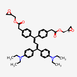 CCN(CC)c1ccc(C(=CC=C(c2ccc(CC(=O)OCC3CO3)cc2)c2ccc(CC(=O)OC[C@H]3CO3)cc2)c2ccc(N(CC)CC)cc2)cc1